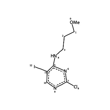 COCCCNc1nc(Cl)ncc1I